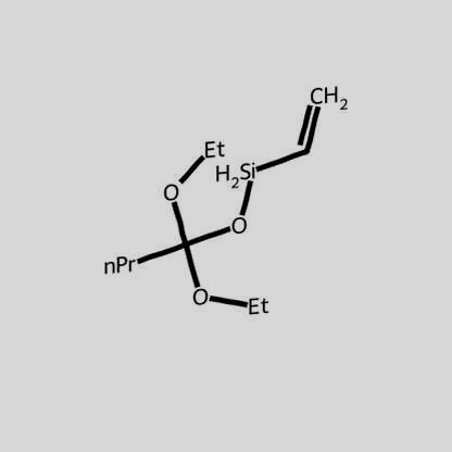 C=C[SiH2]OC(CCC)(OCC)OCC